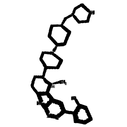 C[C@@H]1c2c([nH]c3nnc(-c4ccccc4O)cc23)CCN1C1CCN([C@H]2CC[C@H](CN3CCNCC3)CC2)CC1